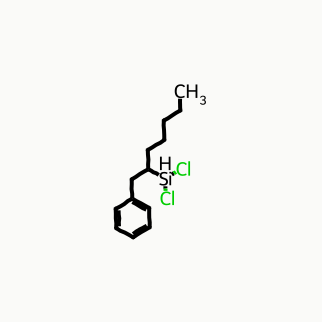 CCCCCC(Cc1ccccc1)[SiH](Cl)Cl